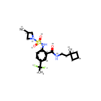 CC(F)(F)c1ccc(NS(=O)(=O)N2CC(C#N)C2)c(C(=O)NCCC2(C(F)(F)F)CCC2)c1